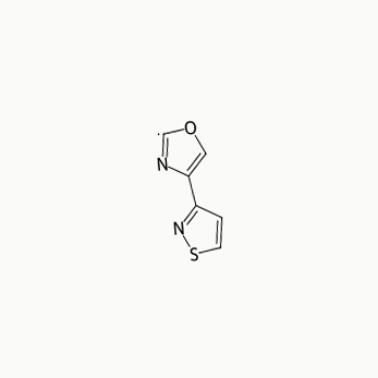 [c]1nc(-c2ccsn2)co1